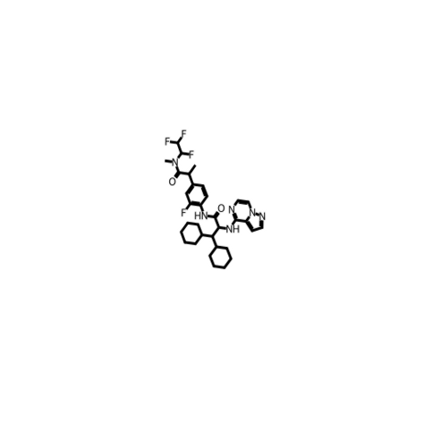 CC(C(=O)N(C)C(F)C(F)F)c1ccc(NC(=O)C(Nc2nccn3nccc23)C(C2CCCCC2)C2CCCCC2)c(F)c1